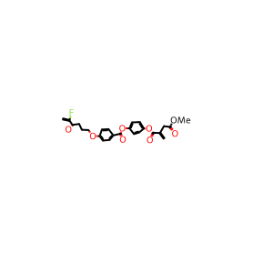 C=C(F)C(=O)CCCOc1ccc(C(=O)Oc2ccc(OC(=O)C(=C)CC(=O)OC)cc2)cc1